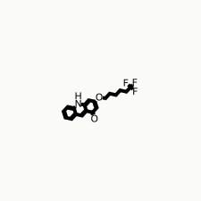 O=c1cc(OCCCCCC(F)(F)F)cc2[nH]c3ccccc3cc1-2